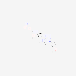 CNC(=O)COCCNC(=O)c1ccc(NC2NC3(CCCCCCCCC3)CN3C(c4ccc(OC(F)F)cc4)CNC23)cc1C